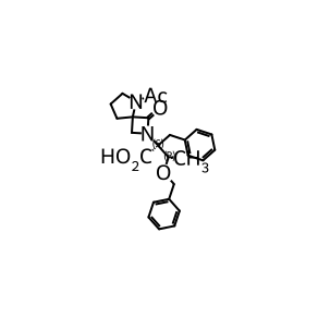 CC(=O)N1CCCC12CN([C@](Cc1ccccc1)(C(=O)O)[C@@H](C)OCc1ccccc1)C2=O